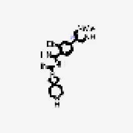 CCc1cc(/C(C=N)=C/NC)ccc1C(=N)NC(=N)N1CC2(CCNCC2)C1